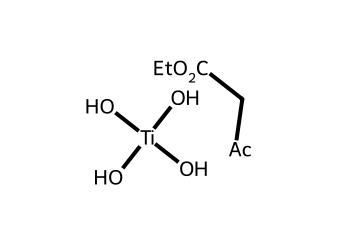 CCOC(=O)CC(C)=O.[OH][Ti]([OH])([OH])[OH]